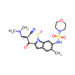 Cc1cc2cc(C(=O)/C(C#N)=C/N(C)C)n(SI)c2cc1NS(=O)(=O)N1CCOCC1